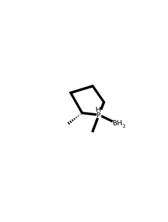 B[PH]1(C)CCC[C@H]1C